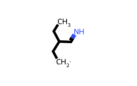 [CH2]CC(C=N)CC